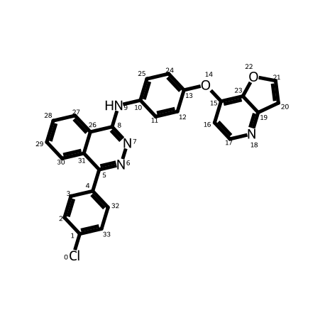 Clc1ccc(-c2nnc(Nc3ccc(Oc4ccnc5ccoc45)cc3)c3ccccc23)cc1